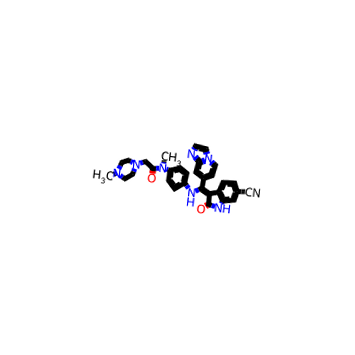 CN1CCN(CC(=O)N(C)c2ccc(N/C(=C3\C(=O)Nc4cc(C#N)ccc43)c3ccn4ccnc4c3)cc2)CC1